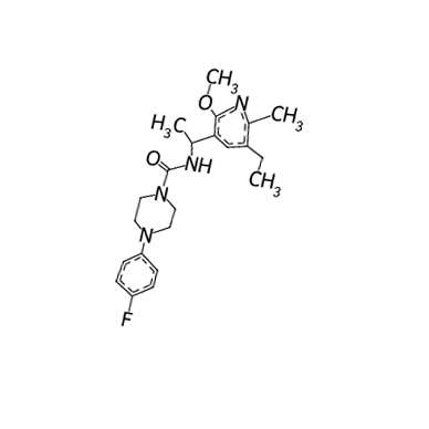 CCc1cc(C(C)NC(=O)N2CCN(c3ccc(F)cc3)CC2)c(OC)nc1C